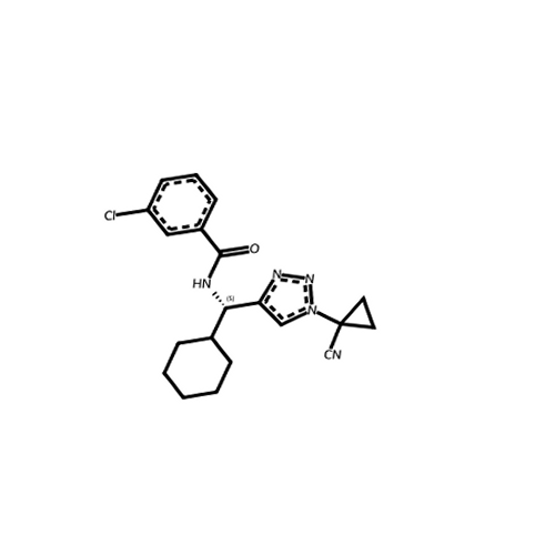 N#CC1(n2cc([C@@H](NC(=O)c3cccc(Cl)c3)C3CCCCC3)nn2)CC1